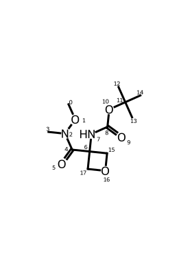 CON(C)C(=O)C1(NC(=O)OC(C)(C)C)COC1